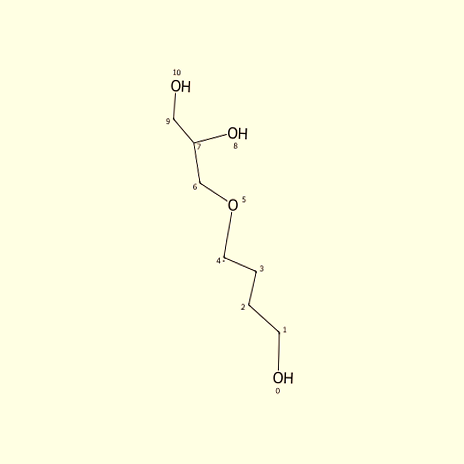 OCCC[CH]OCC(O)CO